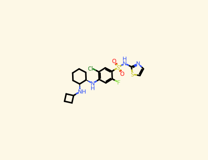 O=S(=O)(Nc1nccs1)c1cc(Cl)c(N[C@@H]2CCCC[C@@H]2NC2CCC2)cc1F